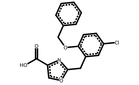 O=C(O)c1coc(Cc2cc(Cl)ccc2OCc2ccccc2)n1